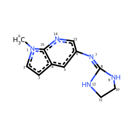 Cn1ccc2cc(N=C3NCCN3)cnc21